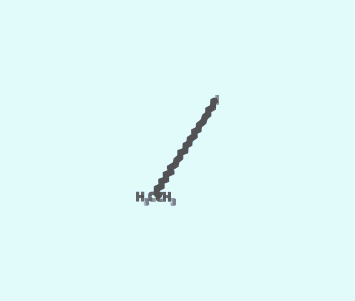 CC(C)CCCCCCCCCCCCCCCCCCCCCCCCCI